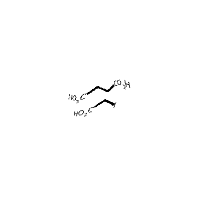 O=C(O)CCC(=O)O.O=C(O)CI